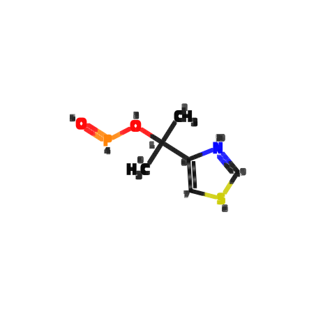 CC(C)(OP=O)c1cs[c]n1